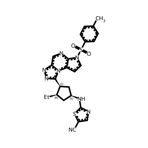 CC[C@@H]1C[C@H](Nc2ncc(C#N)s2)C[C@@H]1c1nnc2cnc3c(ccn3S(=O)(=O)c3ccc(C)cc3)n12